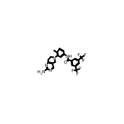 Cc1ccc(NC(=O)c2cc(C(F)(F)F)cc(C(F)(F)F)c2)cc1N1CCc2nc(N)ncc2C1